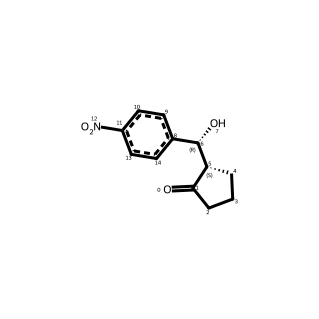 O=C1CCC[C@H]1[C@@H](O)c1ccc([N+](=O)[O-])cc1